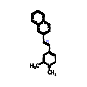 CC1=CC(/C=C/c2ccc3ccccc3c2)=CCN1C